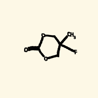 CC1(F)COC(=O)OC1